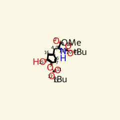 COC(=O)[C@H](Cc1ccc(OC(=O)OC(C)(C)C)c(O)c1)NC(=O)OC(C)(C)C